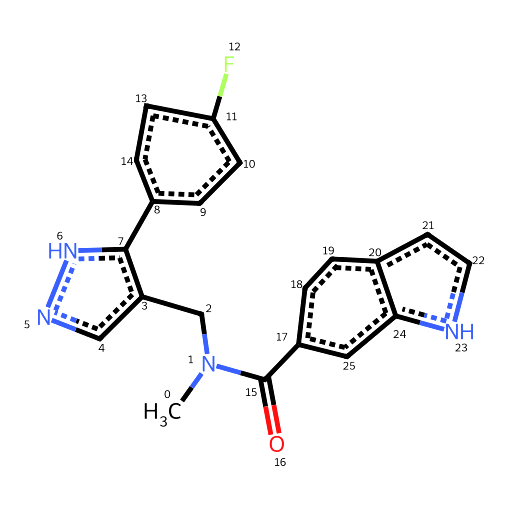 CN(Cc1cn[nH]c1-c1ccc(F)cc1)C(=O)c1ccc2cc[nH]c2c1